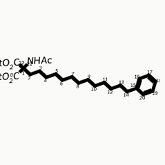 CCOC(=O)C(CCCCCCCCCCCCCc1ccccc1)(NC(C)=O)C(=O)OCC